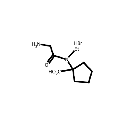 Br.CCN(C(=O)CN)C1(C(=O)O)CCCC1